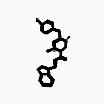 C[C@@H]1CN(C(=O)C=Cc2csc3ccccc23)[C@@H](C)CN1Cc1ccc(F)cc1